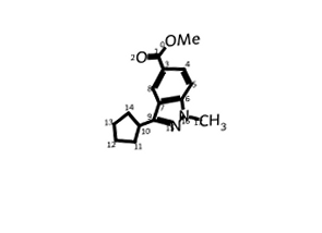 COC(=O)c1ccc2c(c1)c(C1CCCC1)nn2C